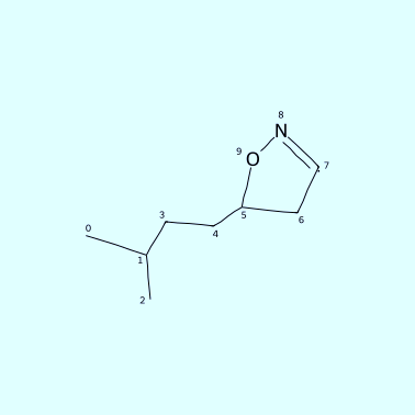 CC(C)CCC1C[C]=NO1